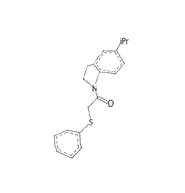 CC(C)c1ccc2c(c1)CCN2C(=O)CSc1ccccc1